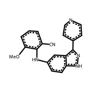 COc1cccc(C#N)c1Nc1ccc2[nH]nc(-c3ccncc3)c2c1